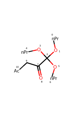 CCCOC(OCCC)(OCCC)C(=O)CC(C)=O